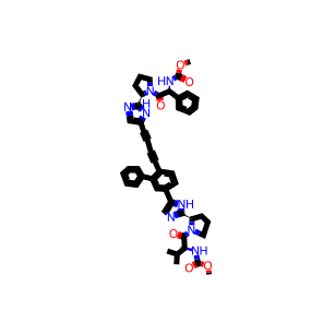 COC(=O)N[C@H](C(=O)N1CCC[C@H]1c1ncc(-c2ccc(C#CC#Cc3cnc([C@@H]4CCCN4C(=O)[C@H](NC(=O)OC)c4ccccc4)[nH]3)c(-c3ccccc3)c2)[nH]1)C(C)C